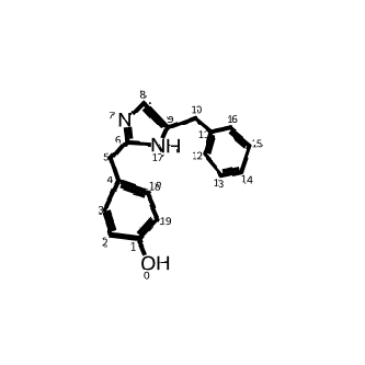 Oc1ccc(Cc2n[c]c(Cc3ccccc3)[nH]2)cc1